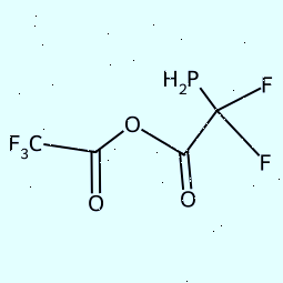 O=C(OC(=O)C(F)(F)P)C(F)(F)F